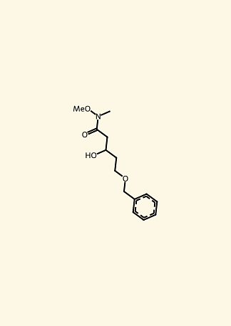 CON(C)C(=O)CC(O)CCOCc1ccccc1